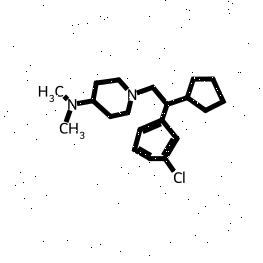 CN(C)C1CCN(CC(c2cccc(Cl)c2)C2CCCC2)CC1